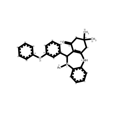 CC(=O)N1c2ccccc2NC2=C(C(=O)CC(C)(C)C2)C1c1cccc(Oc2ccccc2)c1